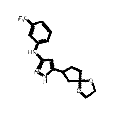 FC(F)(F)c1cccc(Nc2cc(C3CCC4(C3)OCCO4)[nH]n2)c1